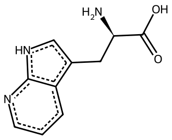 N[C@H](Cc1c[nH]c2ncccc12)C(=O)O